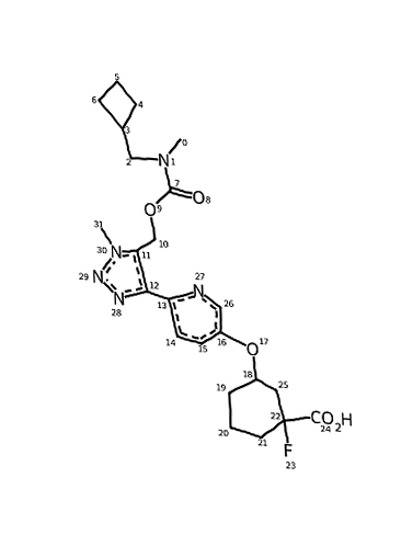 CN(CC1CCC1)C(=O)OCc1c(-c2ccc(OC3CCCC(F)(C(=O)O)C3)cn2)nnn1C